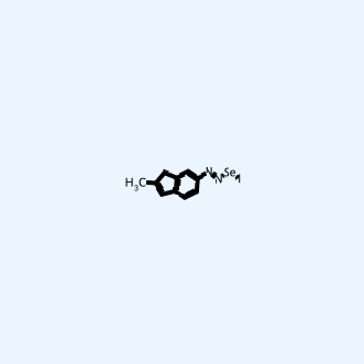 CC1=Cc2ccc(N=N[Se]I)cc2C1